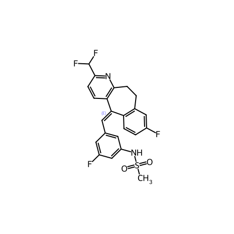 CS(=O)(=O)Nc1cc(F)cc(/C=C2\c3ccc(F)cc3CCc3nc(C(F)F)ccc32)c1